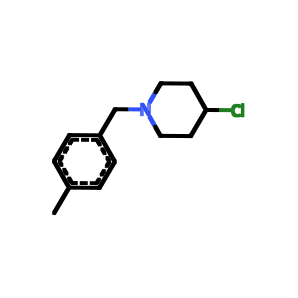 Cc1ccc(CN2CCC(Cl)CC2)cc1